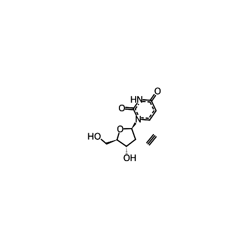 C#C.O=c1ccn([C@H]2C[C@H](O)[C@@H](CO)O2)c(=O)[nH]1